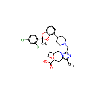 Cc1nc(CN2CCC(c3cccc4c3OC(C)(c3ccc(Cl)cc3F)O4)CC2)n(CC2CCO2)c1CCC(=O)O